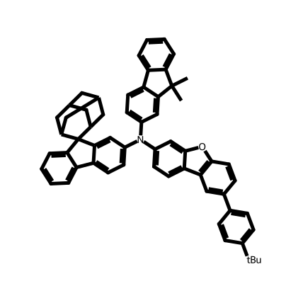 CC(C)(C)c1ccc(-c2ccc3oc4cc(N(c5ccc6c(c5)C(C)(C)c5ccccc5-6)c5ccc6c(c5)C5(c7ccccc7-6)C6CC7CC(C6)CC5C7)ccc4c3c2)cc1